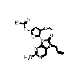 C=CCn1c(=O)n([C@@H]2O[C@@H](OC(=O)CC)C[C@H]2OC(C)=O)c2nc(N)ncc21